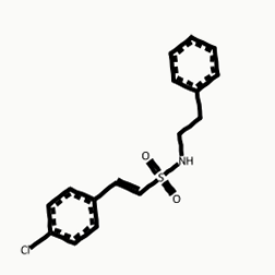 O=S(=O)(/C=C/c1ccc(Cl)cc1)NCCc1cc[c]cc1